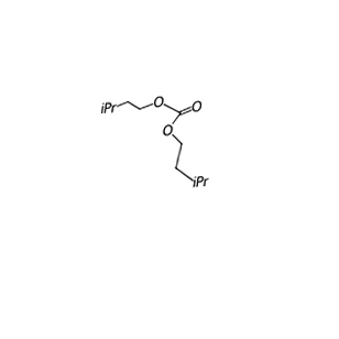 CC(C)CCOC(=O)OCCC(C)C